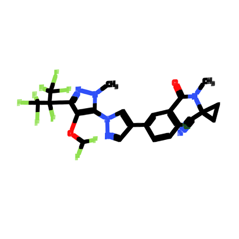 CN(C(=O)c1cc(-c2cnn(-c3c(OC(F)F)c(C(F)(C(F)(F)F)C(F)(F)F)nn3C)c2)ccc1Cl)C1(C#N)CC1